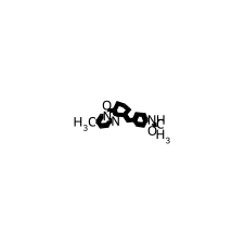 CC(=O)Nc1ccc(C=C2CCCc3c2nc2ccc(C)cn2c3=O)cc1